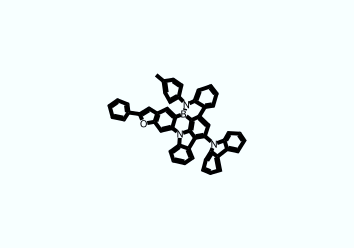 Cc1ccc(N2B3c4cc5cc(-c6ccccc6)oc5cc4-n4c5ccccc5c5c(-n6c7ccccc7c7ccccc76)cc(c3c54)-c3ccccc32)cc1